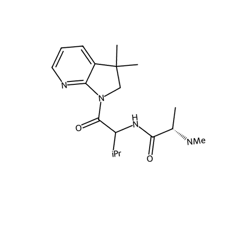 CN[C@@H](C)C(=O)NC(C(=O)N1CC(C)(C)c2cccnc21)C(C)C